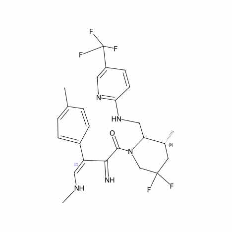 CN/C=C(\C(=N)C(=O)N1CC(F)(F)C[C@@H](C)C1CNc1ccc(C(F)(F)F)cn1)c1ccc(C)cc1